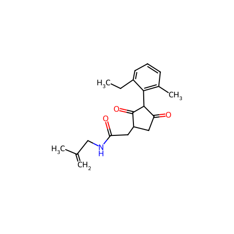 C=C(C)CNC(=O)CC1CC(=O)C(c2c(C)cccc2CC)C1=O